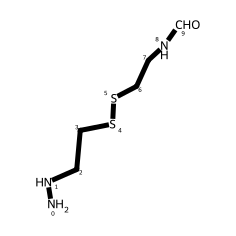 NNCCSSCCNC=O